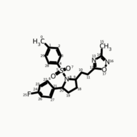 Cc1ccc(S(=O)(=O)N2C(CCc3nc(C)no3)CCC2c2ccc(F)cc2)cc1